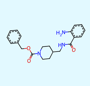 Nc1ccccc1C(=O)NCC1CCN(C(=O)OCc2ccccc2)CC1